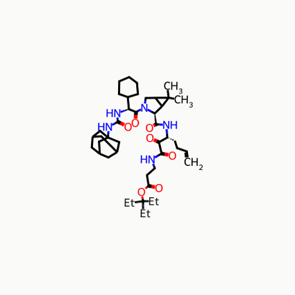 C=CCC[C@@H](NC(=O)[C@@H]1C2C(CN1C(=O)[C@@H](NC(=O)NC13CC4CC(CC(C4)C1)C3)C1CCCCC1)C2(C)C)C(=O)C(=O)NCCC(=O)OC(CC)(CC)CC